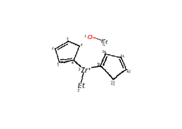 CC[O-].C[CH2][Zr+]([C]1=CC=CC1)[C]1=CC=CC1